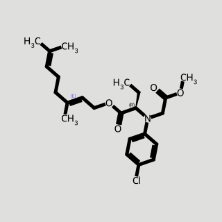 CC[C@H](C(=O)OC/C=C(\C)CCC=C(C)C)N(CC(=O)OC)c1ccc(Cl)cc1